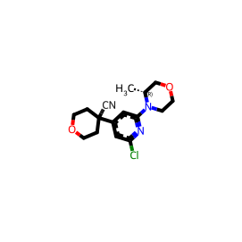 C[C@@H]1COCCN1c1cc(C2(C#N)CCOCC2)cc(Cl)n1